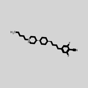 CCCCC[SiH]1CCC([C@H]2CC[C@H](CCCCc3cc(F)c(C#N)c(F)c3)CC2)CC1